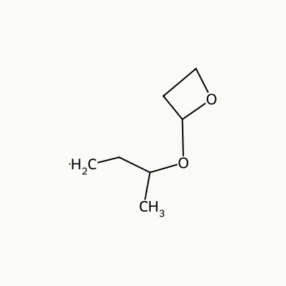 [CH2]CC(C)OC1CCO1